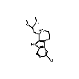 COC(CC1NCCc2c1[nH]c1ccc(Cl)cc21)OC